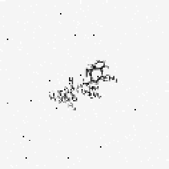 CC(=O)NC(CCCCNC(=O)OC(C)(C)C)c1cc(C)c2ccccc2n1